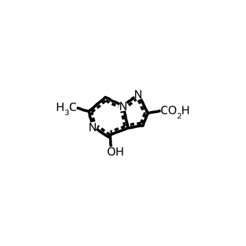 Cc1cn2nc(C(=O)O)cc2c(O)n1